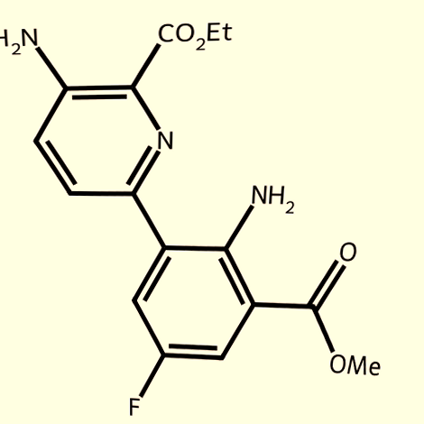 CCOC(=O)c1nc(-c2cc(F)cc(C(=O)OC)c2N)ccc1N